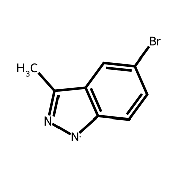 CC1=N[N]c2ccc(Br)cc21